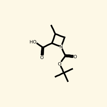 CC1CN(C(=O)OC(C)(C)C)C1C(=O)O